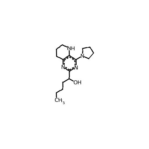 CCCCC(O)c1nc2c(c(N3CCCC3)n1)NCCC2